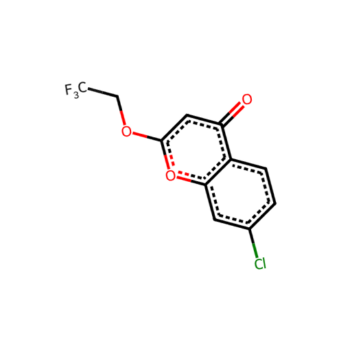 O=c1cc(OCC(F)(F)F)oc2cc(Cl)ccc12